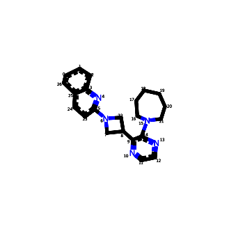 c1ccc2nc(N3CC(c4nccnc4N4CCCCCC4)C3)ccc2c1